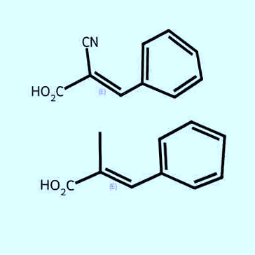 C/C(=C\c1ccccc1)C(=O)O.N#C/C(=C\c1ccccc1)C(=O)O